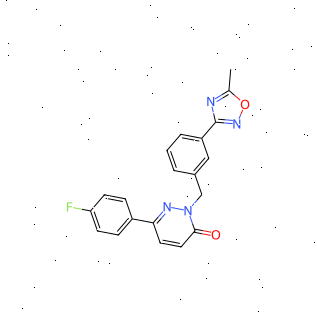 Cc1nc(-c2cccc(Cn3nc(-c4ccc(F)cc4)ccc3=O)c2)no1